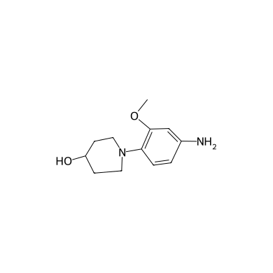 COc1cc(N)ccc1N1CCC(O)CC1